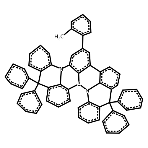 Cc1ccccc1-c1cc2c3c(c1)N1c4ccccc4C(c4ccccc4)(c4ccccc4)c4cccc(c41)B3N1c3ccccc3C(c3ccccc3)(c3ccccc3)c3cccc-2c31